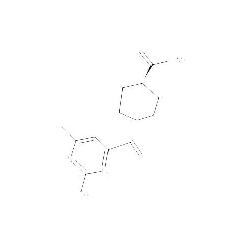 COC(=O)[C@H]1CC[C@H](C(=O)c2cc(Cl)nc(SC)n2)CC1